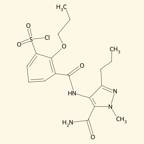 CCCOc1c(C(=O)Nc2c(CCC)nn(C)c2C(N)=O)cccc1S(=O)(=O)Cl